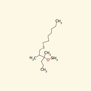 CCCCCCCSCC(C)C(C)(CCC)O[SiH3]